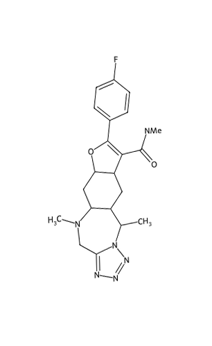 CNC(=O)C1=C(c2ccc(F)cc2)OC2CC3C(CC12)C(C)n1nnnc1CN3C